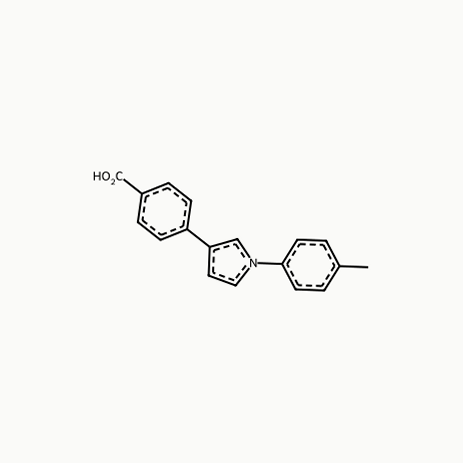 Cc1ccc(-n2ccc(-c3ccc(C(=O)O)cc3)c2)cc1